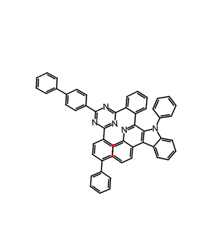 c1ccc(-c2ccc(-c3nc(-c4ccc(-c5ccccc5)cc4)nc(-c4ccccc4-c4nc5ccccc5c5c6ccccc6n(-c6ccccc6)c45)n3)cc2)cc1